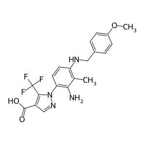 COc1ccc(CNc2ccc(-n3ncc(C(=O)O)c3C(F)(F)F)c(N)c2C)cc1